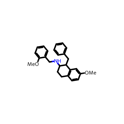 COc1ccc2c(c1)C(Cc1ccccc1)C(NCc1ccccc1OC)CC2